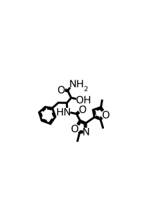 Cc1cc(-c2nc(C)oc2C(=O)NC(Cc2ccccc2)C(O)C(N)=O)c(C)o1